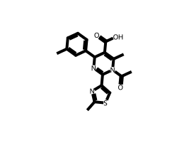 CC(=O)N1C(c2csc(C)n2)=NC(c2cccc(C)c2)C(C(=O)O)=C1C